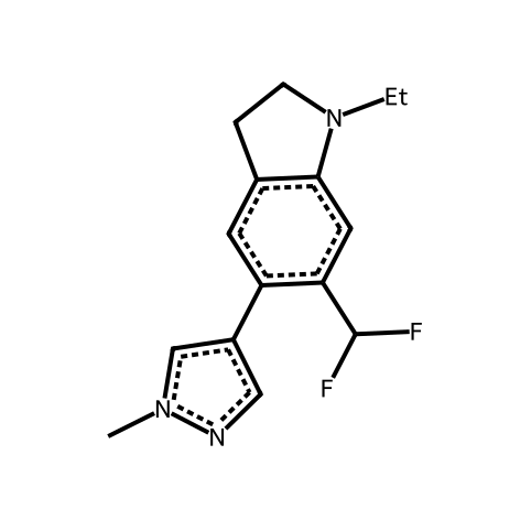 CCN1CCc2cc(-c3cnn(C)c3)c(C(F)F)cc21